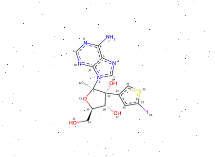 C[C@@]1(n2cnc3c(N)ncnc32)O[C@H](CO)[C@@H](O)[C@]1(O)c1csc(I)c1